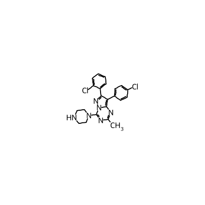 Cc1nc(N2CCNCC2)n2nc(-c3ccccc3Cl)c(-c3ccc(Cl)cc3)c2n1